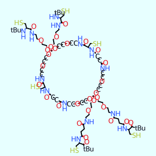 CC(C)(C)NC(CS)C(=O)NCCOCCOC1(OCCOCCNC(=O)C(CS)NC(C)(C)C)OCCOCCNC(=O)C(CS)NC(=O)CCC(=O)NCCOCCOC(OCCOCCNC(=O)CCC(=O)NC(CS)C(=O)C(C)(C)C)(OCCOCCNC(=O)CCC(=O)NC(CS)C(=O)C(C)(C)C)OCCOCCNC(=O)CCC(=O)NC(CS)C(=O)NCCOCCO1